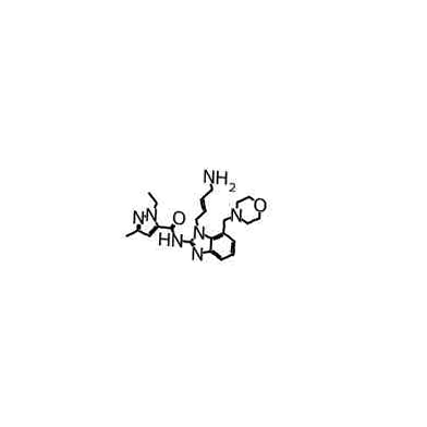 CCn1nc(C)cc1C(=O)Nc1nc2cccc(CN3CCOCC3)c2n1C/C=C/CN